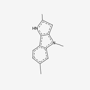 Cc1ccc2c3[nH]c(C)cc3n(C)c2c1